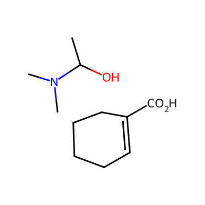 CC(O)N(C)C.O=C(O)C1=CCCCC1